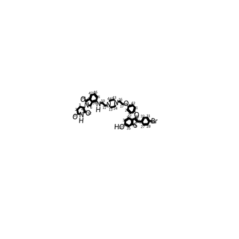 O=C1CCC(N2Cc3c(NCCN4CCN(CCOc5ccc(Oc6c(-c7ccc(Br)cc7)sc7cc(O)ccc67)cc5)CC4)cccc3C2=O)C(=O)N1